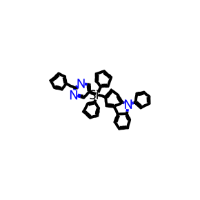 c1ccc(-c2ncc([Si](c3ccccc3)(c3ccccc3)c3ccc4c(c3)c3ccccc3n4-c3ccccc3)cn2)cc1